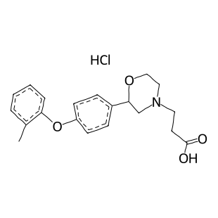 Cc1ccccc1Oc1ccc(C2CN(CCC(=O)O)CCO2)cc1.Cl